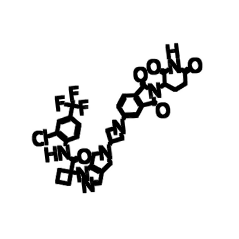 O=C1CCC(N2C(=O)c3ccc(N4CC(N5Cc6cnn(C7(C(=O)Nc8ccc(C(F)(F)F)cc8Cl)CCC7)c6C5)C4)cc3C2=O)C(=O)N1